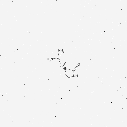 C=C.NC(N)=O.O=C1NCCN1